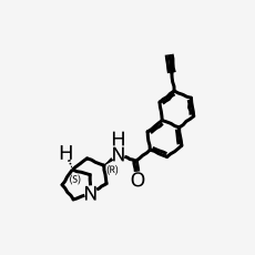 C#Cc1ccc2ccc(C(=O)N[C@@H]3C[C@@H]4CCN(C4)C3)cc2c1